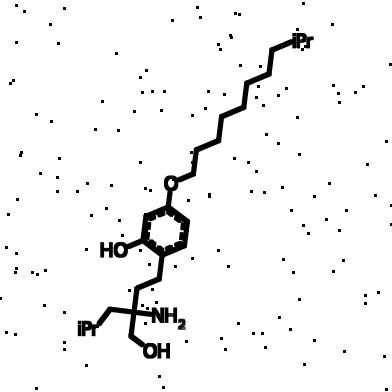 CC(C)CCCCCCCCOc1ccc(CCC(N)(CO)CC(C)C)c(O)c1